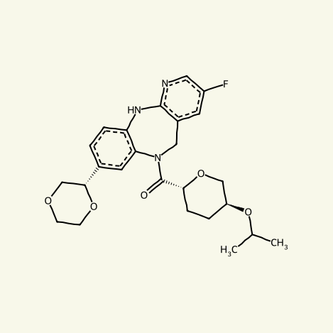 CC(C)O[C@H]1CC[C@H](C(=O)N2Cc3cc(F)cnc3Nc3ccc([C@H]4COCCO4)cc32)OC1